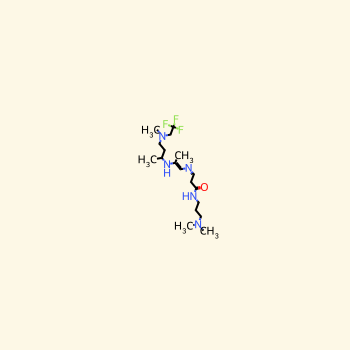 C/C(=C\N=C/CC(=O)NCCCN(C)C)NC(C)CCN(C)CC(F)(F)F